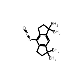 BC1(B)CCc2c1cc1c(c2N=C=O)CCC1(B)B